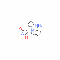 CN1C(=O)CC(c2cc3cccc(Cl)c3n2-c2ccccc2N)C1=O